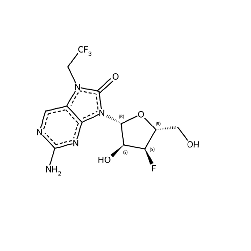 Nc1ncc2c(n1)n([C@@H]1O[C@H](CO)[C@@H](F)[C@H]1O)c(=O)n2CC(F)(F)F